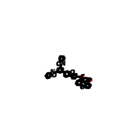 c1ccc2c(c1)Oc1ccccc1C21c2ccccc2-c2ccc(-c3ccc4c(c3)oc3cc(-c5cc(-c6nc7ccccc7o6)cc(-c6nc7ccccc7o6)c5)ccc34)cc21